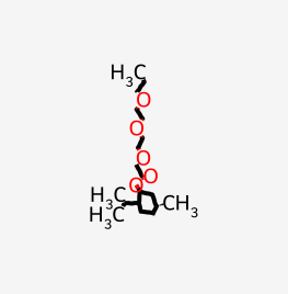 CCCOCCOCCOCC(=O)OC1C[C@H](C)CCC1C(C)C